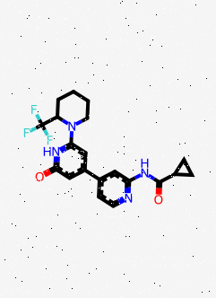 O=C(Nc1cc(-c2cc(N3CCCCC3C(F)(F)F)[nH]c(=O)c2)ccn1)C1CC1